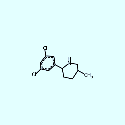 CC1CCC(c2cc(Cl)cc(Cl)c2)NC1